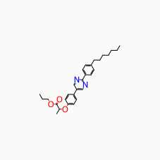 CCCCCCCc1ccc(-c2ncc(-c3ccc(OC(C)C(=O)OCCC)cc3)cn2)cc1